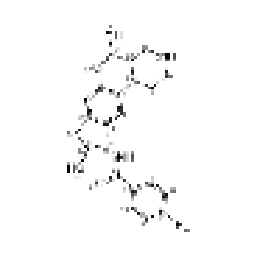 O=C(N[C@H]1c2cc(N3CCNCC3C(=O)O)ccc2C[C@@H]1O)c1ccc(F)cc1